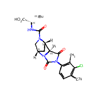 CC[C@H](C)[C@H](NC(=O)N1C[C@@H]2C[C@H]1[C@H]1C(=O)N(c3ccc(C#N)c(Cl)c3C)C(=O)N21)C(=O)O